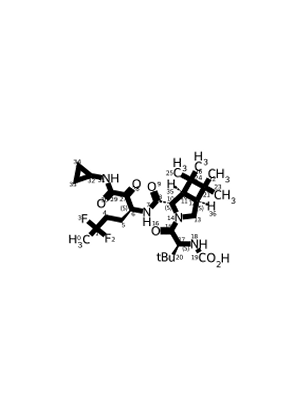 CC(F)(F)CC[C@H](NC(=O)[C@@H]1[C@@H]2[C@H](CN1C(=O)[C@@H](NC(=O)O)C(C)(C)C)C(C)(C)C2(C)C)C(=O)C(=O)NC1CC1